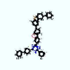 c1ccc(-c2ccc(-c3nc(-c4ccccc4)nc(-c4ccc5c(c4)oc4cc(-c6ccc7sc8ccc(-c9ccccc9)cc8c7c6)ccc45)n3)cc2)cc1